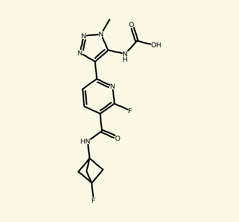 Cn1nnc(-c2ccc(C(=O)NC34CC(F)(C3)C4)c(F)n2)c1NC(=O)O